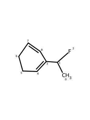 CC(F)C1=CCCC=C1